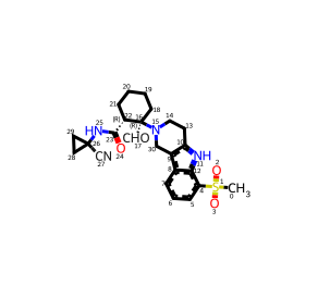 CS(=O)(=O)c1cccc2c3c([nH]c12)CCN([C@]1(C=O)CCCC[C@H]1C(=O)NC1(C#N)CC1)C3